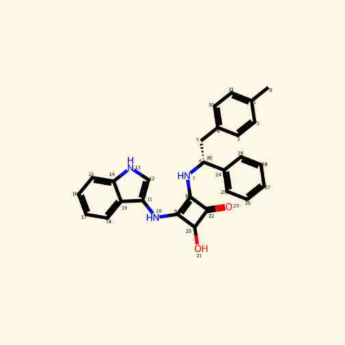 Cc1ccc(C[C@@H](NC2=C(Nc3c[nH]c4ccccc34)C(O)C2=O)c2ccccc2)cc1